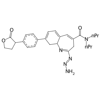 CCCN(CCC)C(=O)C1=CC2=CC=C(c3ccc(C4CCOC4=O)cc3)CC2N=C(N=NN)C1